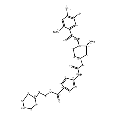 COc1cc(N)c(Cl)cc1C(=O)N[C@@H]1CCN(CC(=O)Nc2ccc(C(=O)OCCN3CCOCC3)cc2)C[C@@H]1OC